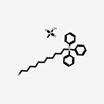 CS(=O)(=O)O.FCCCCCCCCCCC[PH](c1ccccc1)(c1ccccc1)c1ccccc1